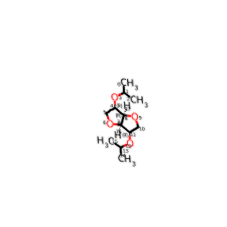 CC(C)O[C@@H]1CO[C@H]2[C@@H]1OC[C@H]2OC(C)C